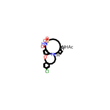 CC(=O)N[C@@H]1CCCCCS(=O)(=O)NC(=O)c2ccc3c(c2)N(CCCCc2cc(Cl)ccc2CO3)C[C@@H]2CC[C@H]21